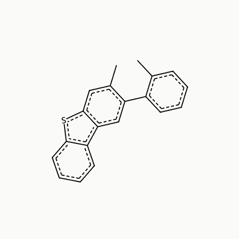 Cc1ccccc1-c1cc2c(cc1C)sc1ccccc12